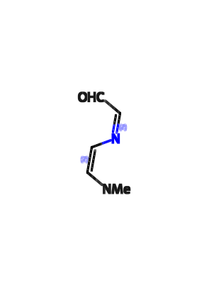 CN/C=C\N=C/C=O